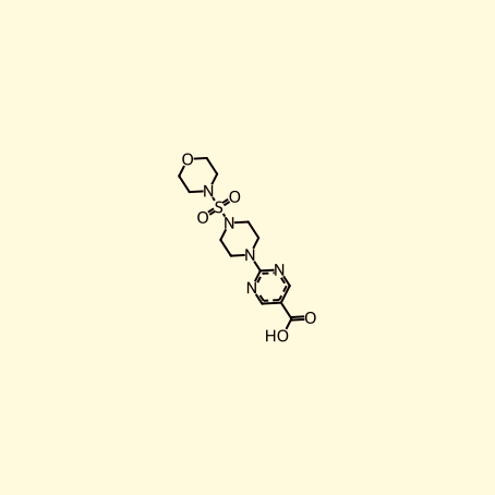 O=C(O)c1cnc(N2CCN(S(=O)(=O)N3CCOCC3)CC2)nc1